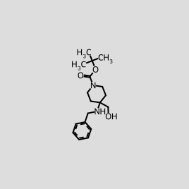 CC(C)(C)OC(=O)N1CCC(CO)(NCc2ccccc2)CC1